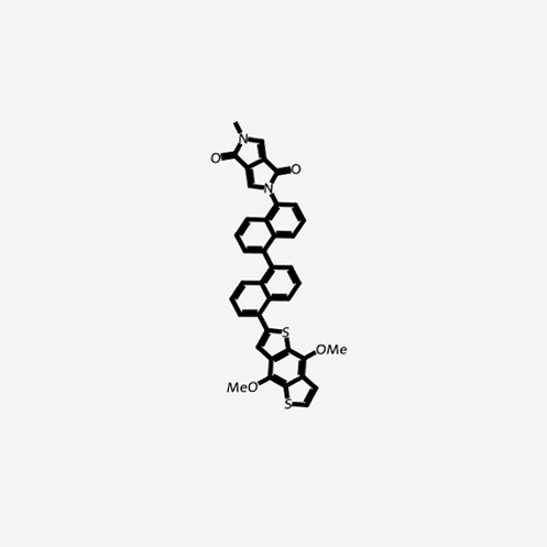 COc1c2cc(-c3cccc4c(-c5cccc6c(N7C=C8C(=O)N(C)C=C8C7=O)cccc56)cccc34)sc2c(OC)c2ccsc12